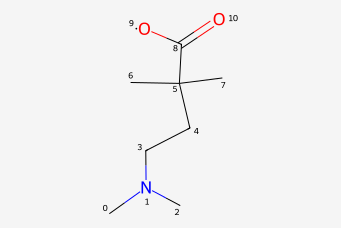 CN(C)CCC(C)(C)C([O])=O